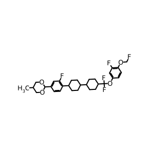 CC1COC(c2ccc(C3CCC(C4CCC(C(F)(F)Oc5ccc(OCF)c(F)c5)CC4)CC3)c(F)c2)OC1